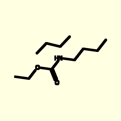 CCCC.CCCCNC(=O)OCC